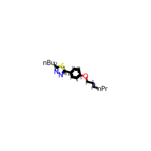 CCC/C=C/COc1ccc(-c2nnc(CCCC)s2)cc1